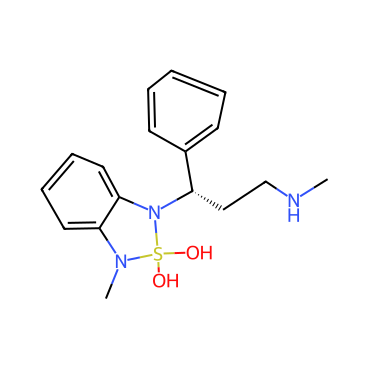 CNCC[C@@H](c1ccccc1)N1c2ccccc2N(C)S1(O)O